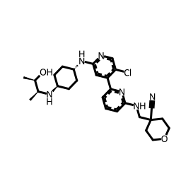 C[C@H](N[C@H]1CC[C@H](Nc2cc(-c3cccc(NCC4(C#N)CCOCC4)n3)c(Cl)cn2)CC1)[C@@H](C)O